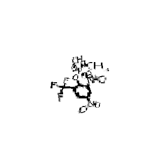 COP(=O)(OC)Oc1c([N+](=O)[O-])cc([N+](=O)[O-])cc1C(F)(F)F